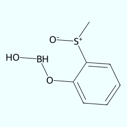 C[S+]([O-])c1ccccc1OBO